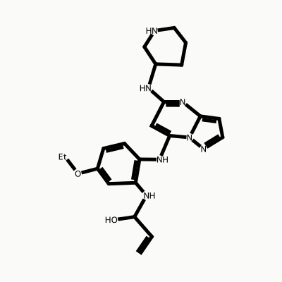 C=CC(O)Nc1cc(OCC)ccc1Nc1cc(NC2CCCNC2)nc2ccnn12